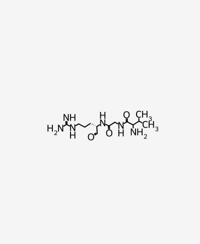 CC(C)C(N)C(=O)NCC(=O)N[C@H](C=O)CCCNC(=N)N